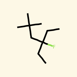 CCC(F)(CC)CC(C)(C)C